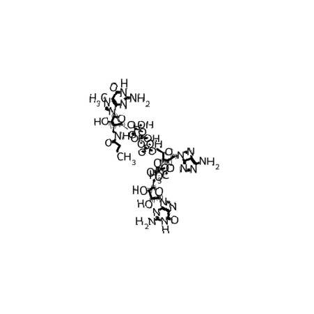 CCCC(=O)NC[C@H]1[C@@H](O)[C@H](n2c[n+](C)c3c(=O)[nH]c(N)nc32)O[C@@H]1COP(=O)(O)OP(=O)(O)OP(=O)(O)OCC1O[C@@H](n2cnc3c(N)ncnc32)[C@H](OC)[C@@H]1OP(=O)([O-])OC[C@H]1O[C@@H](n2cnc3c(=O)[nH]c(N)nc32)[C@H](O)[C@@H]1O